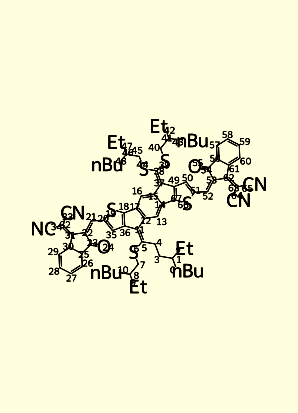 CCCCC(CC)CC/C(SCC(CC)CCCC)=C1\c2cc3c(cc2-c2sc(/C=C4\C(=O)C5C=CC=CC5C4=C(C#N)C#N)cc21)C(=C(SCC(CC)CCCC)SCC(CC)CCCC)c1cc(/C=C2\C(=O)c4ccccc4C2=C(C#N)C#N)sc1-3